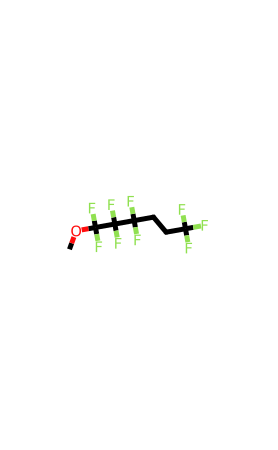 COC(F)(F)C(F)(F)C(F)(F)CCC(F)(F)F